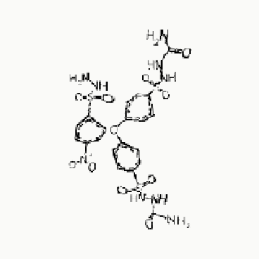 NC(=O)NNS(=O)(=O)c1ccc(Oc2ccc(S(=O)(=O)NNC(N)=O)cc2)cc1.NNS(=O)(=O)c1ccc([N+](=O)[O-])cc1